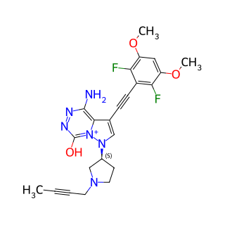 CC#CCN1CC[C@H](n2cc(C#Cc3c(F)c(OC)cc(OC)c3F)c3c(N)nnc(O)[n+]32)C1